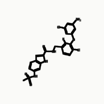 CS(=O)(=O)Nc1ccc2cc(C(=O)NCc3ccc(Cl)c(Oc4cc(N)cc(Cl)c4)c3F)[nH]c2c1